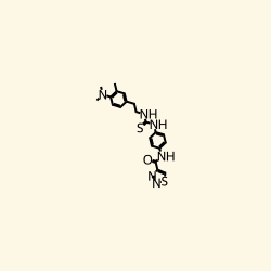 Cc1cc(CCNC(=S)Nc2ccc(NC(=O)c3csnn3)cc2)ccc1N(C)C